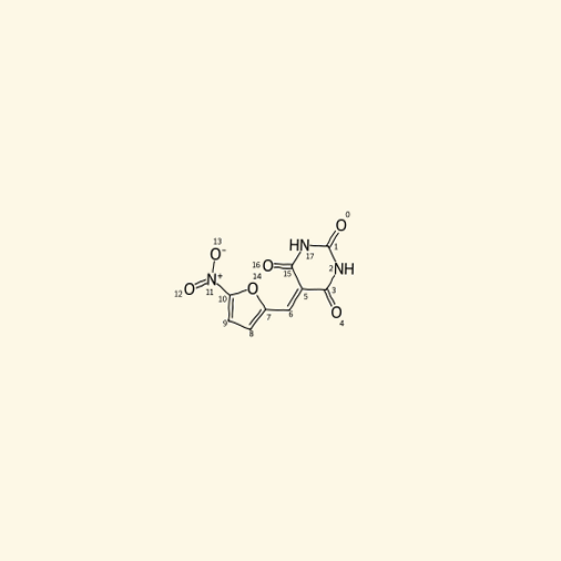 O=C1NC(=O)C(=Cc2ccc([N+](=O)[O-])o2)C(=O)N1